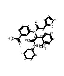 CC(=O)c1cccc(N(C(=O)Cc2cccs2)C(C(=O)NC2CCCCC2)c2ccccc2C)c1